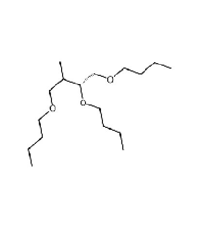 CCCCOCC(C)[C@H](COCCCC)OCCCC